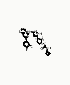 O=C(NC12CC(C1)C2)O[C@H]1CC[C@@H](c2cc(Nc3nc(-c4ccc(F)c(Cl)c4)cc4nccn34)n[nH]2)[C@H]1F